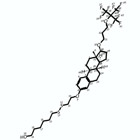 C[C@]12CC[C@@H]3c4ccc(OCCSSCCCCCCO)cc4CC[C@H]3[C@@H]1CC[C@@H]2OCCCOC(C(F)(F)F)(C(F)(F)F)C(F)(F)F